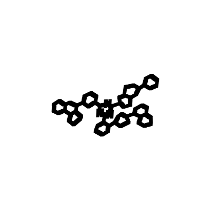 c1ccc(-c2ccc3cc(-c4nc(-c5cccc(-c6cc7ccccc7c7ccccc67)c5)nc(-c5ccccc5-c5ccc(-c6cccc7ccccc67)cc5)n4)ccc3c2)cc1